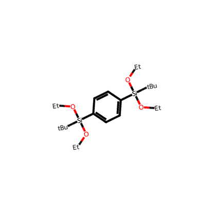 CCO[Si](OCC)(c1ccc([Si](OCC)(OCC)C(C)(C)C)cc1)C(C)(C)C